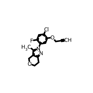 C#CCOc1cc(-n2nc3c(c2C)COCC3)c(F)cc1Cl